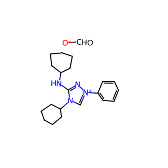 O=C[O-].c1ccc(-[n+]2cn(C3CCCCC3)c(NC3CCCCC3)n2)cc1